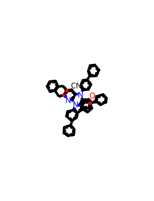 N#Cc1c2c(nc(-n3c4ccccc4c4cc(-c5ccccc5)ccc43)c1N(c1ccc(-c3ccccc3)cc1)c1cccc3c1oc1ccccc13)C1CCC2c2ccccc21